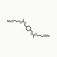 CSCCCOC(C)OCC1CCC(COC(C)OCCCSC)CC1